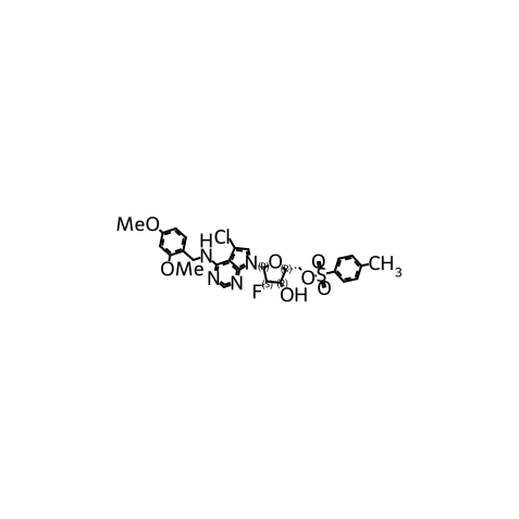 COc1ccc(CNc2ncnc3c2c(Cl)cn3[C@@H]2O[C@H](COS(=O)(=O)c3ccc(C)cc3)[C@@H](O)[C@@H]2F)c(OC)c1